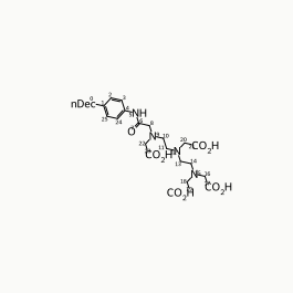 CCCCCCCCCCc1ccc(NC(=O)CN(CCN(CCN(CC(=O)O)CC(=O)O)CC(=O)O)CC(=O)O)cc1